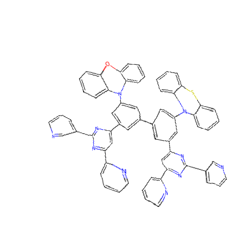 c1ccc(-c2cc(-c3cc(-c4cc(-c5cc(-c6ccccn6)nc(-c6cccnc6)n5)cc(N5c6ccccc6Sc6ccccc65)c4)cc(N4c5ccccc5Oc5ccccc54)c3)nc(-c3cccnc3)n2)nc1